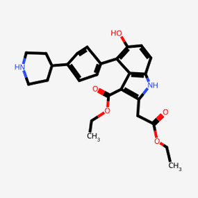 CCOC(=O)Cc1[nH]c2ccc(O)c(-c3ccc(C4CCNCC4)cc3)c2c1C(=O)OCC